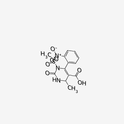 CC1NC(=O)N(S(C)(=O)=O)C(c2ccccc2[N+](=O)[O-])=C1C(=O)O